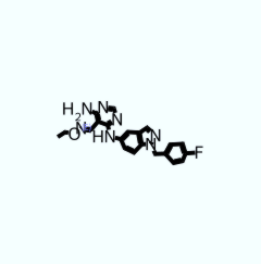 CCO/N=C/c1c(N)ncnc1Nc1ccc2c(cnn2Cc2ccc(F)cc2)c1